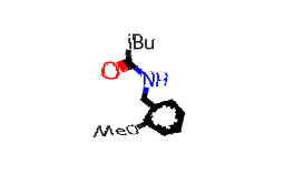 CCC(C)C(=O)NCc1ccccc1OC